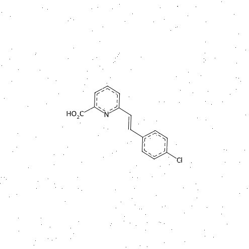 O=C(O)c1cccc(C=Cc2ccc(Cl)cc2)n1